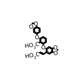 O=C(O)C=Cc1cc2c(cc1Oc1cccc(Oc3ccc4c(c3)OCO4)c1C(=O)O)OCO2